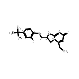 CCc1cc(=O)nc2n1C[C@@H](COc1ccc(C(C)(C)C)cc1F)O2